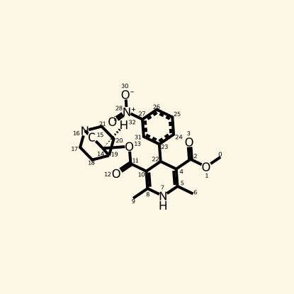 COC(=O)C1=C(C)NC(C)=C(C(=O)O[C@@H]2CN3CCC2CC3)C1c1cccc([N+](=O)[O-])c1